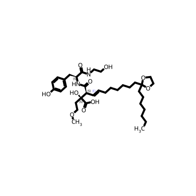 CCCCCCCC1(CCCCCC/C=C/[C@H](C(=O)N[C@@H](Cc2ccc(O)cc2)C(=O)NCCO)[C@@](O)(CCOC)C(=O)O)OCCO1